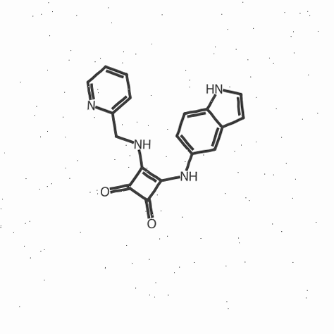 O=c1c(NCc2ccccn2)c(Nc2ccc3[nH]ccc3c2)c1=O